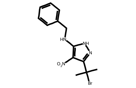 CC(C)(Br)c1n[nH]c(NCc2ccccc2)c1[N+](=O)[O-]